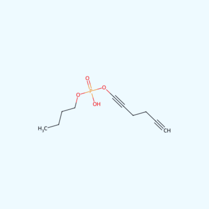 C#CCCC#COP(=O)(O)OCCCC